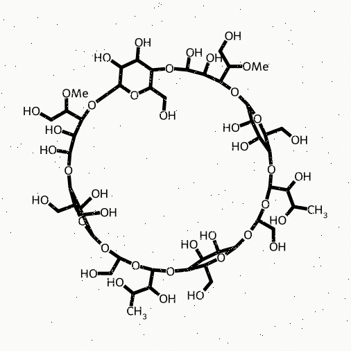 COC(CO)C1OC2OC(CO)C(OC(O)C(O)C(C(CO)OC)OC3OC(CO)C(OC(C(O)C(C)O)OC(CO)OC4OC(CO)C(OC(C(O)C(C)O)OC(CO)OC5OC(CO)C(OC(O)C1O)C(O)C5O)C(O)C4O)C(O)C3O)C(O)C2O